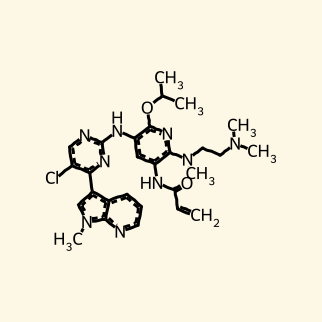 C=CC(=O)Nc1cc(Nc2ncc(Cl)c(-c3cn(C)c4ncccc34)n2)c(OC(C)C)nc1N(C)CCN(C)C